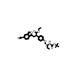 CCOC(=O)C(Cc1occ2cc(C#N)ccc12)c1ccc(OC[C@H](CC)NC(=O)OC(C)(C)C)cc1